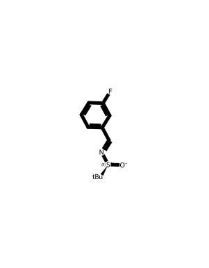 CC(C)(C)[S@+]([O-])N=Cc1cccc(F)c1